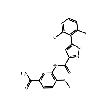 COc1ccc(C(N)=O)cc1NC(=O)c1cc(-c2c(F)cccc2Cl)[nH]n1